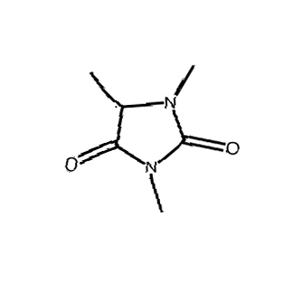 C[C]1C(=O)N(C)C(=O)N1C